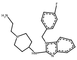 NCCN1CCC(Nc2nc3ccccc3n2Cc2ccc(F)cc2)CC1